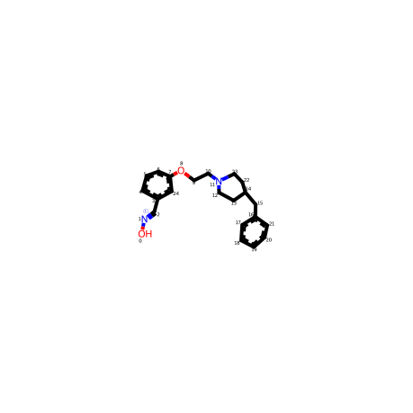 O/N=C/c1cccc(OCCN2CCC(Cc3ccccc3)CC2)c1